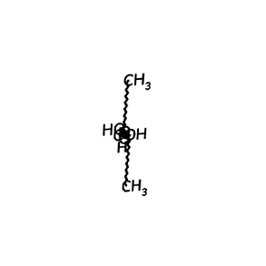 CCCCCCCCCCCCCCCC(O)O[PH](=O)OC(O)CCCCCCCCCCCCCCC